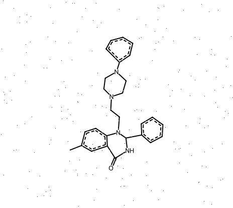 Cc1ccc2c(c1)C(=O)NC(c1ccccc1)N2CCN1CCN(c2ccccc2)CC1